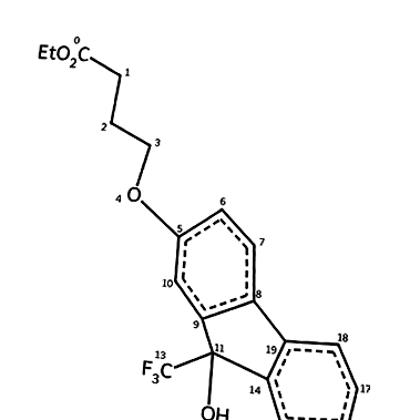 CCOC(=O)CCCOc1ccc2c(c1)C(O)(C(F)(F)F)c1ccccc1-2